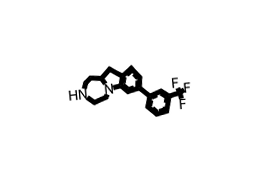 FC(F)(F)c1cccc(-c2ccc3c(c2)N2CCNCCC2C3)c1